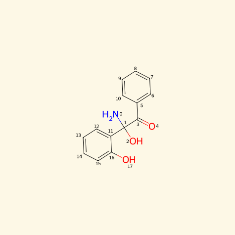 NC(O)(C(=O)c1ccccc1)c1ccccc1O